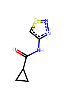 O=C(Nc1csnn1)C1CC1